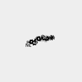 N#Cc1c(F)ccc2c1CCOC2CN1CCN(C(=O)Cc2ccc(-n3cnnn3)cn2)CC1